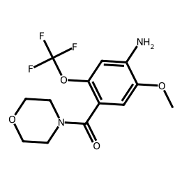 COc1cc(C(=O)N2CCOCC2)c(OC(F)(F)F)cc1N